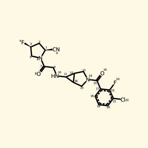 N#C[C@@H]1C[C@H](F)CN1C(=O)CNC1C2CN(C(=O)c3cccc(Cl)c3F)CC21